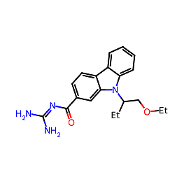 CCOCC(CC)n1c2ccccc2c2ccc(C(=O)N=C(N)N)cc21